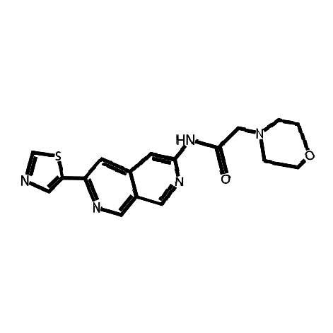 O=C(CN1CCOCC1)Nc1cc2cc(-c3cncs3)ncc2cn1